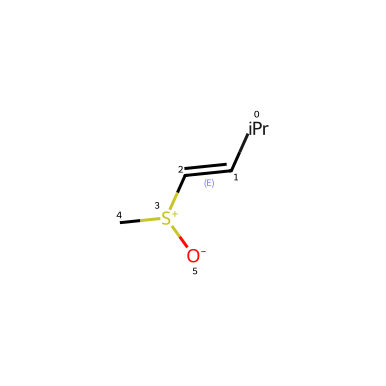 CC(C)/C=C/[S+](C)[O-]